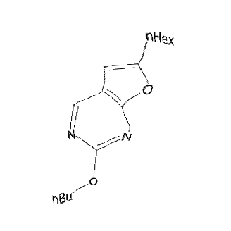 CCCCCCc1cc2cnc(OCCCC)nc2o1